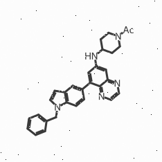 CC(=O)N1CCC(Nc2cc(-c3ccc4c(ccn4Cc4ccccc4)c3)c3nccnc3c2)CC1